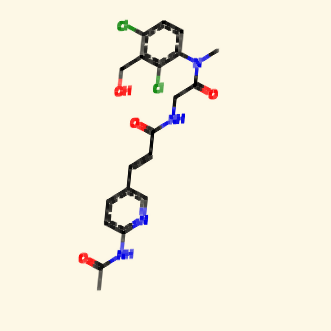 CC(=O)Nc1ccc(C=CC(=O)NCC(=O)N(C)c2ccc(Cl)c(CO)c2Cl)cn1